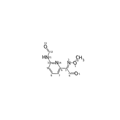 CON=C([C]=O)c1cccc(NC=O)n1